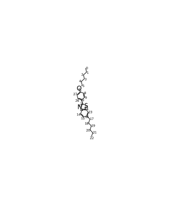 CCCCCCOc1ccc(-c2nc3ccc(CCCCCC)cc3s2)cc1